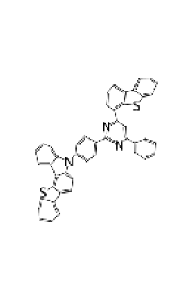 c1ccc(-c2cc(-c3cccc4c3sc3ccccc34)nc(-c3ccc(-n4c5ccccc5c5c6sc7ccccc7c6ccc54)cc3)n2)cc1